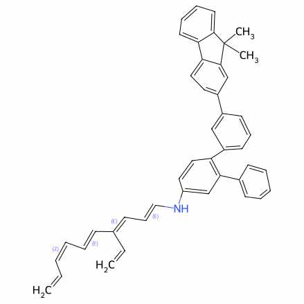 C=C\C=C/C=C/C(C=C)=C/C=C/Nc1ccc(-c2cccc(-c3ccc4c(c3)C(C)(C)c3ccccc3-4)c2)c(-c2ccccc2)c1